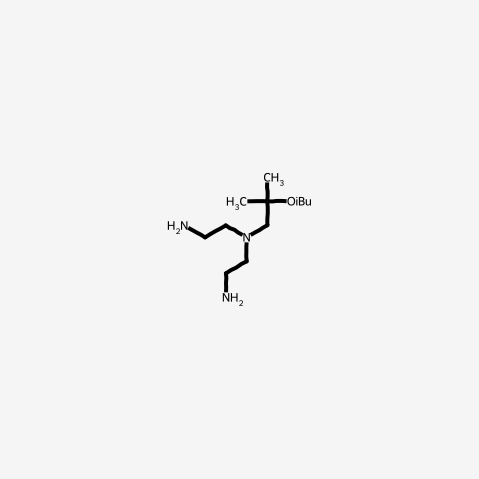 CC(C)COC(C)(C)CN(CCN)CCN